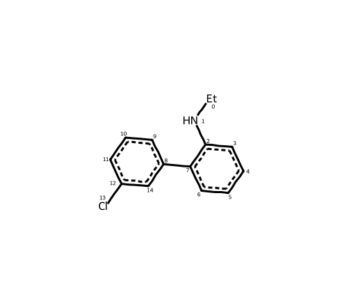 [CH2]CNc1ccccc1-c1cccc(Cl)c1